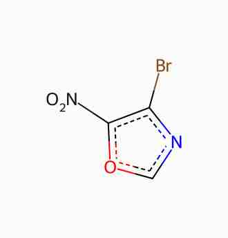 O=[N+]([O-])c1ocnc1Br